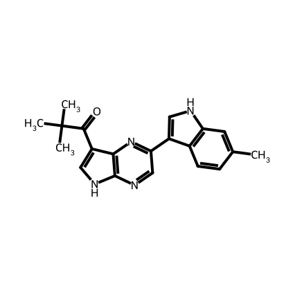 Cc1ccc2c(-c3cnc4[nH]cc(C(=O)C(C)(C)C)c4n3)c[nH]c2c1